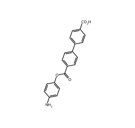 Nc1ccc(OC(=O)c2ccc(-c3ccc(C(=O)O)cc3)cc2)cc1